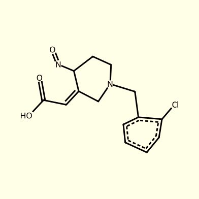 O=NC1CCN(Cc2ccccc2Cl)C/C1=C/C(=O)O